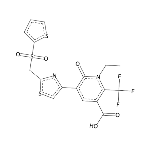 CCn1c(C(F)(F)F)c(C(=O)O)cc(-c2csc(CS(=O)(=O)c3cccs3)n2)c1=O